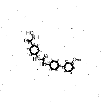 COc1cccc(-c2ccc(NC(=O)Nc3ccc(C(=O)NO)cc3)cc2)c1